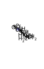 C=C1NC(=C)C(=Cc2ccc(N(C)Cc3ccc(N(C)/C=N/C4(C)C=CC(C(=O)CCC)=CC4)cc3)cc2)C(=C)N1